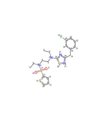 CCN(CCN(CC)S(=O)(=O)c1cccs1)c1nc(Cc2cccc(F)c2)ns1